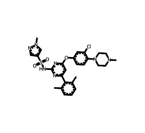 Cc1cccc(C)c1-c1cc(Oc2ccc(N3CCN(C)CC3)c(Cl)c2)nc(NS(=O)(=O)c2cnn(C)c2)n1